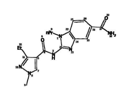 CCCn1c(NC(=O)c2cn(C)nc2CC)nc2cc(C(N)=O)ccc21